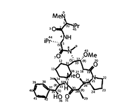 CN[C@H](C(=O)N[C@H](C(=O)N(C)[C@@H](C1CCCCC1)[C@@H](CC(=O)N1CCC[C@H]1[C@H](OC)[C@@H](C)C(=O)N[C@H](C)[C@@H](O)c1ccccc1)OC)C(C)C)C(C)C